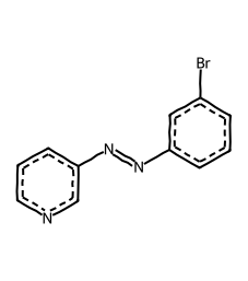 Brc1cccc(N=Nc2cccnc2)c1